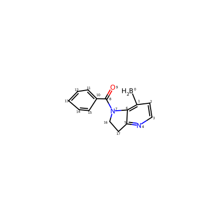 Bc1ccnc2c1N(C(=O)c1ccccc1)CC2